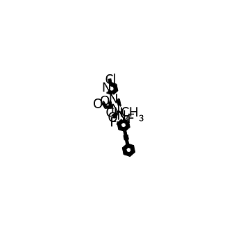 CN(C(=O)N1CCN(c2ccc(Cl)nc2)C(=O)C1(C)CC=O)c1c(F)cc(C#Cc2ccccc2)cc1F